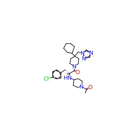 CC(=O)N1CCC(N[C@H](Cc2ccc(Cl)cc2)C(=O)N2CCC(Cn3cncn3)(C3CCCCC3)CC2)CC1